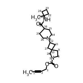 CC#CCOC(=O)N1CCC2(CC(N3CCC(C(=O)NC4(C)CCC4)CC3)C2)C1